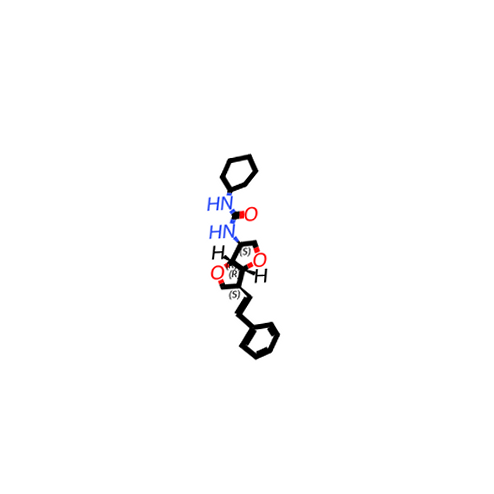 O=C(NC1CCCCC1)N[C@H]1CO[C@H]2[C@@H]1OC[C@@H]2C=Cc1ccccc1